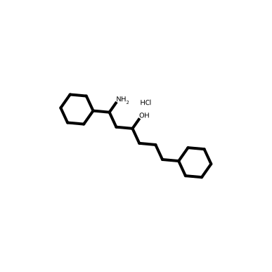 Cl.NC(CC(O)CCCC1CCCCC1)C1CCCCC1